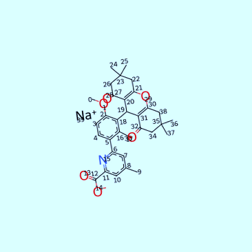 COc1ccc(-c2cc(C)cc(C(=O)[O-])n2)c(C)c1C1C2=C(CC(C)(C)CC2=O)OC2=C1C(=O)CC(C)(C)C2.[Na+]